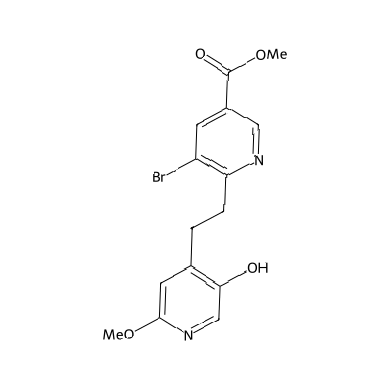 COC(=O)c1cnc(CCc2cc(OC)ncc2O)c(Br)c1